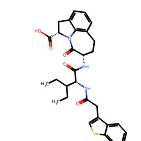 CCC(CC)[C@H](NC(=O)Cc1csc2ccccc12)C(=O)N[C@H]1CCc2cccc3c2N(C1=O)[C@H](C(=O)O)C3